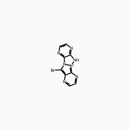 Brc1c2nccnc2[n+]2[nH]c3nccnc3n12